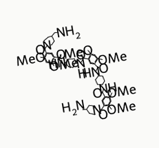 COc1cc(OC)c(C(=O)N[C@H]2CC[C@@H](NC(=O)c3cc(C(=O)N4CCC(CN)CC4)c(OC)cc3OC)CC2)cc1C(=O)N[C@H]1CC[C@@H](NC(=O)c2cc(C(=O)N3CCC(CN)CC3)c(OC)cc2OC)CC1